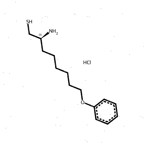 Cl.N[C@H](CS)CCCCCCOc1ccccc1